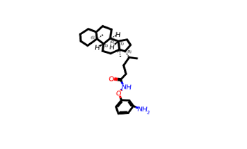 CC(CCC(=O)NOc1cccc(N)c1)[C@H]1CC[C@H]2[C@@H]3CCC4CCCC[C@]4(C)[C@H]3CC[C@]12C